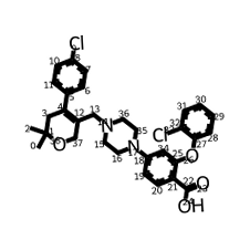 CC1(C)CC(c2ccc(Cl)cc2)=C(CN2CCN(c3ccc(C(=O)O)c(Oc4ccccc4Cl)c3)CC2)CO1